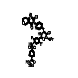 CC(C)OC(=O)[C@H](Cc1ccc(-n2c(=O)c3c(n(C)c2=O)CCOC3)nc1)NC(=O)c1cc(F)c(NS(=O)(=O)c2ccc(C(=O)NC(C)(C)C)cc2)cc1F